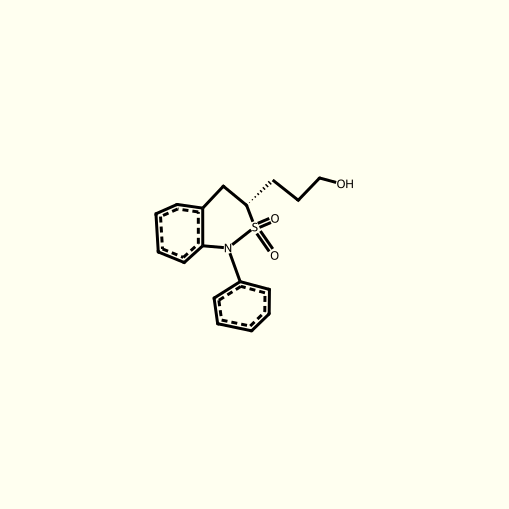 O=S1(=O)[C@@H](CCCO)Cc2ccccc2N1c1ccccc1